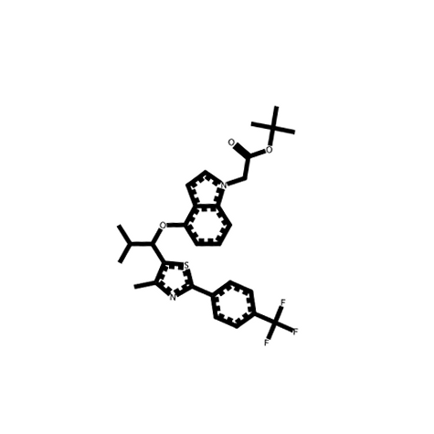 Cc1nc(-c2ccc(C(F)(F)F)cc2)sc1C(Oc1cccc2c1ccn2CC(=O)OC(C)(C)C)C(C)C